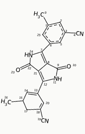 Cc1cc(C#N)cc(C2=C3C(=O)NC(C4=CC(C)CC(C#N)=C4)=C3C(=O)N2)c1